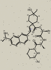 CC(=O)[C@@H]1CCCN(C(=O)[C@H](C)NC(=O)[C@@H](OC(=O)C2(/C=C/c3ccc4ccc([C@@H](C)N)nc4c3)CCC(C)(O)CC2)C(C)C)N1